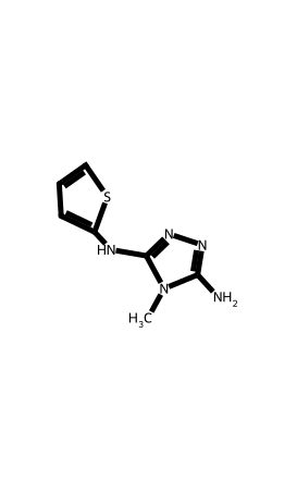 Cn1c(N)nnc1Nc1cccs1